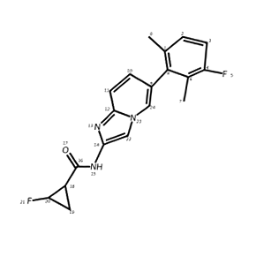 Cc1ccc(F)c(C)c1-c1ccc2nc(NC(=O)C3CC3F)cn2c1